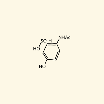 CC(=O)Nc1ccc(O)cc1.O=S(=O)(O)O